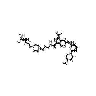 COC1CCN(c2nccc(Nc3cc4c(cn3)c(C(=O)NCCCN3CCN(CCCNC(=O)O)CC3)nn4C(C)C)n2)CC1